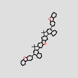 CC1(C)c2cc3c(cc2-c2c1cc(-c1ccc4c(c1)oc1ccccc14)c1ccccc21)oc1cc2c(cc13)C(C)(C)c1cc(-c3ccc4c(c3)oc3ccccc34)c3ccccc3c1-2